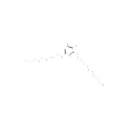 CCCCCCCCSCCc1cc(C)c(O)c(CCSCCCCCCCC)c1